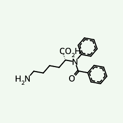 NCCCC[C@H](C(=O)O)N(C(=O)c1ccccc1)c1ccccc1